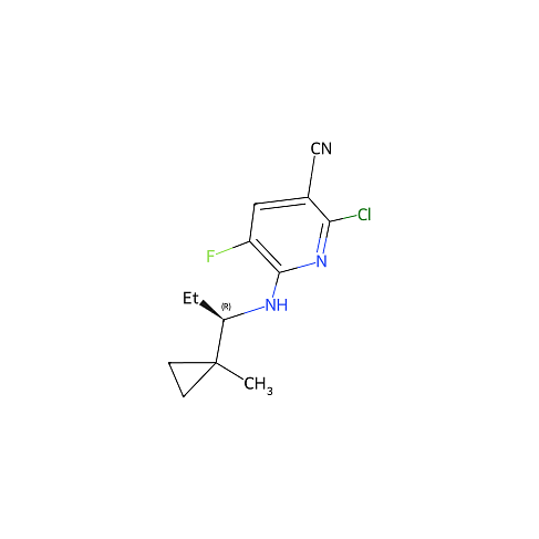 CC[C@@H](Nc1nc(Cl)c(C#N)cc1F)C1(C)CC1